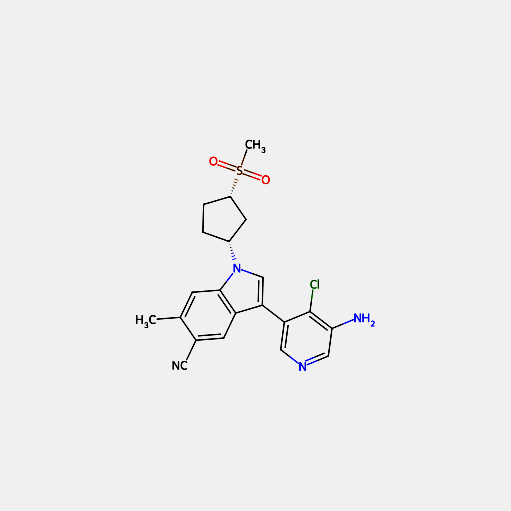 Cc1cc2c(cc1C#N)c(-c1cncc(N)c1Cl)cn2[C@@H]1CC[C@H](S(C)(=O)=O)C1